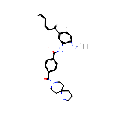 C=C(/C=C\C=C/C)c1ccc(NC)c(NC(=O)c2ccc(C(=O)N3CCC4(CCCN4)CC3)cc2)c1